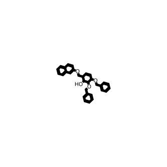 OC1C(COc2ccc3ccccc3c2)C=CC(OCc2ccccc2)C1OCc1ccccc1